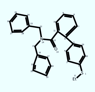 CCSc1ccc(-c2ccccc2C(=O)N(Cc2ccccc2)Cc2ccccc2)cc1